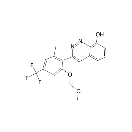 COCOc1cc(C(F)(F)F)cc(C)c1-c1cc2cccc(O)c2nn1